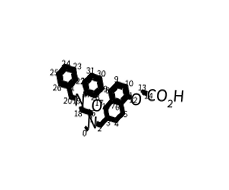 CN(CC1CCc2c(cccc2OCC(=O)O)C1)C(=O)CN(Cc1ccccc1)c1ccccc1